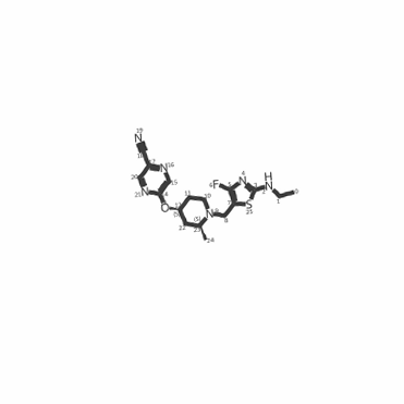 CCNc1nc(F)c(CN2CC[C@H](Oc3cnc(C#N)cn3)C[C@@H]2C)s1